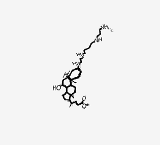 COC(=O)CC[C@@H](C)[C@H]1CCC2C3C(CC[C@@]21C)[C@@]1(C)CC[C@H](NCCCNCCCCNCCCN)C[C@@H]1C[C@@H]3O